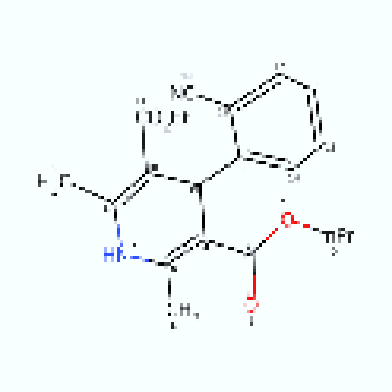 CCCOC(=O)C1=C(C)NC(C)=C(C(=O)OCC)C1c1ccccc1C#N